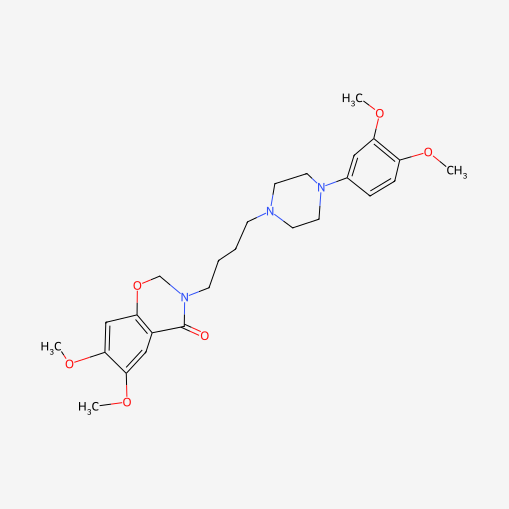 COc1ccc(N2CCN(CCCCN3COc4cc(OC)c(OC)cc4C3=O)CC2)cc1OC